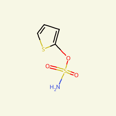 NS(=O)(=O)Oc1cccs1